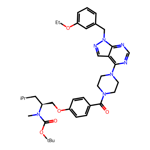 CCOc1cccc(Cn2ncc3c(N4CCN(C(=O)c5ccc(OC[C@H](CC(C)C)N(C)C(=O)OC(C)(C)C)cc5)CC4)ncnc32)c1